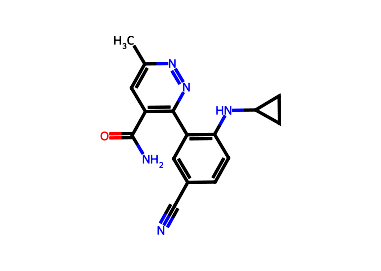 Cc1cc(C(N)=O)c(-c2cc(C#N)ccc2NC2CC2)nn1